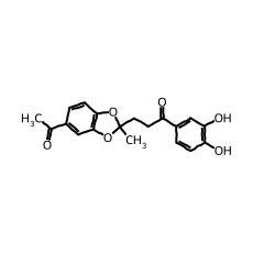 CC(=O)c1ccc2c(c1)OC(C)(CCC(=O)c1ccc(O)c(O)c1)O2